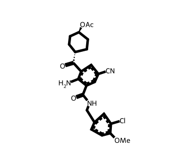 COc1ccc(CNC(=O)c2cc(C#N)cc(C(=O)[C@H]3CC[C@H](OC(C)=O)CC3)c2N)cc1Cl